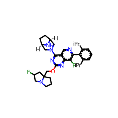 CC(C)c1cccc(C(C)C)c1-c1ncc2c(N3C[C@H]4CC[C@@H](C3)N4)nc(OCC34CCCN3CC(F)C4)nc2c1F